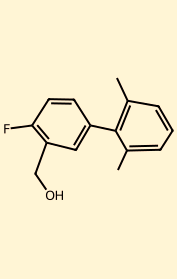 Cc1cccc(C)c1-c1ccc(F)c(CO)c1